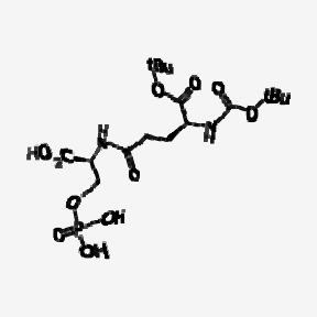 CC(C)(C)OC(=O)N[C@@H](CCC(=O)N[C@@H](COP(=O)(O)O)C(=O)O)C(=O)OC(C)(C)C